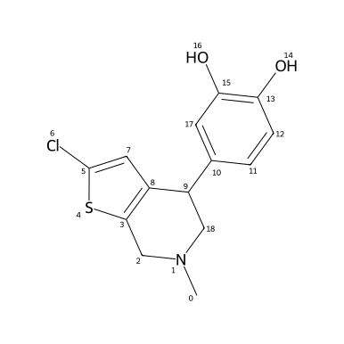 CN1Cc2sc(Cl)cc2C(c2ccc(O)c(O)c2)C1